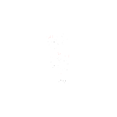 COCOc1ccc(O)c2c(Oc3ccc(O)c4ccccc34)cccc12